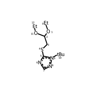 CCOC(CSc1ncnn1C(C)(C)C)OCC